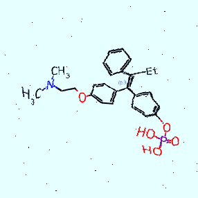 CC/C(=C(/c1ccc(OCCN(C)C)cc1)c1ccc(OP(=O)(O)O)cc1)c1ccccc1